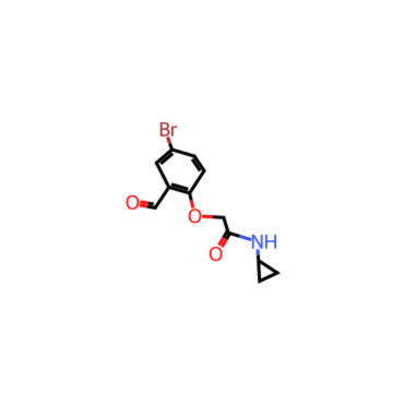 O=Cc1cc(Br)ccc1OCC(=O)NC1CC1